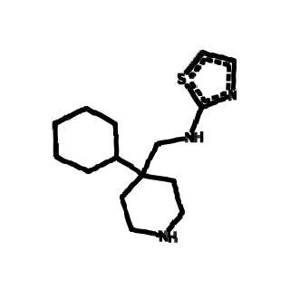 c1csc(NCC2(C3CCCCC3)CCNCC2)n1